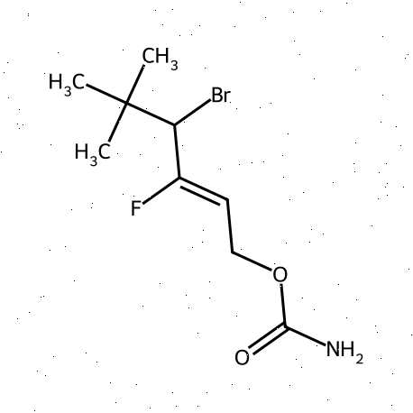 CC(C)(C)C(Br)C(F)=CCOC(N)=O